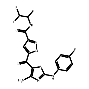 CC(NC(=O)c1cc(C(=O)c2sc(Nc3ccc(F)cc3)nc2N)on1)C(F)F